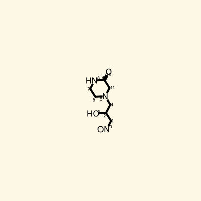 O=NCC(O)CN1CCNC(=O)C1